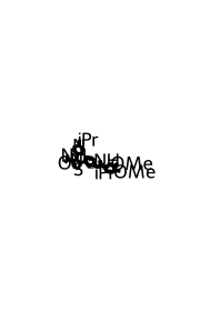 COc1ccc(-c2[nH]c3ccc(C4SC=C(C(N)=O)N4C4CCN(C(C)C)CC4)cc3c2C(C)C)cc1OC